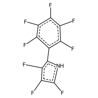 Fc1[nH]c(-c2c(F)c(F)c(F)c(F)c2F)c(F)c1F